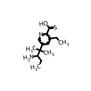 CCc1cc(C(C)(C)C(N)CC)cnc1C(O)=S